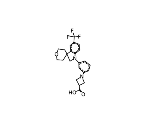 O=C(O)C1CN(c2cccc(N3CC4(CCOCC4)c4cc(C(F)(F)F)ccc43)c2)C1